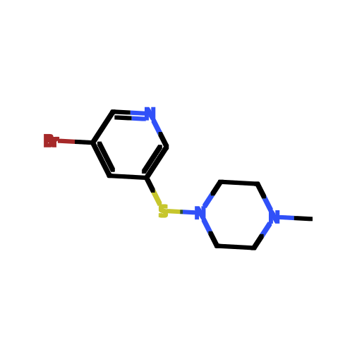 CN1CCN(Sc2cncc(Br)c2)CC1